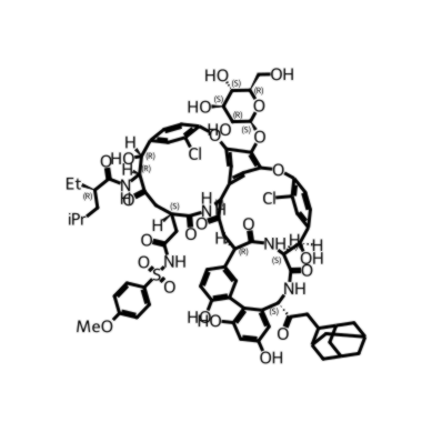 CC[C@H](CC(C)C)C(=O)N[C@H]1C(=O)C[C@@H](CC(=O)NS(=O)(=O)c2ccc(OC)cc2)C(=O)N[C@H]2C(=O)C[C@H]3C(=O)N[C@H](C(=O)N[C@H](C(=O)CC4C5CC6CC(C5)CC4C6)c4cc(O)cc(O)c4-c4cc3ccc4O)[C@H](O)c3ccc(c(Cl)c3)Oc3cc2cc(c3O[C@@H]2O[C@H](CO)[C@@H](O)[C@H](O)[C@H]2O)Oc2ccc(cc2Cl)[C@H]1O